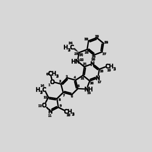 COc1cc2c(cc1-c1c(C)noc1C)[nH]c1nc(C)nc(N[C@H](C)c3ccccc3)c12